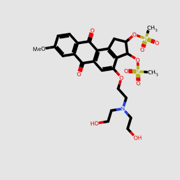 COc1ccc2c(c1)C(=O)c1cc(OCCN(CCO)CCO)c3c(c1C2=O)CC(OS(C)(=O)=O)C3OS(C)(=O)=O